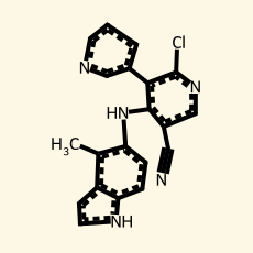 Cc1c(Nc2c(C#N)cnc(Cl)c2-c2cccnc2)ccc2[nH]ccc12